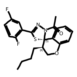 CCCC[C@@H]1COc2ccccc2[C@@]12SC(c1cc(F)ccc1F)=NN2C(C)=O